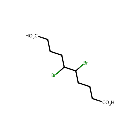 O=C(O)CCCC(Br)C(Br)CCCC(=O)O